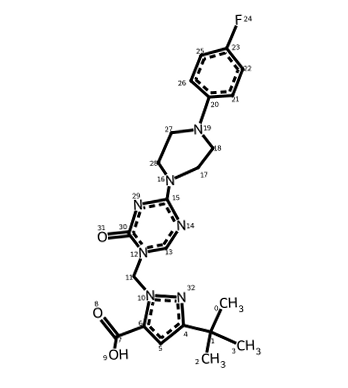 CC(C)(C)c1cc(C(=O)O)n(Cn2cnc(N3CCN(c4ccc(F)cc4)CC3)nc2=O)n1